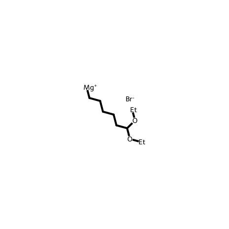 CCOC(CCCC[CH2][Mg+])OCC.[Br-]